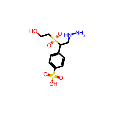 NNCC(c1ccc(S(=O)(=O)O)cc1)S(=O)(=O)CCO